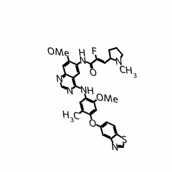 COc1cc2ncnc(Nc3cc(C)c(Oc4ccc5scnc5c4)cc3OC)c2cc1NC(=O)C(F)=CC1CCCN1C